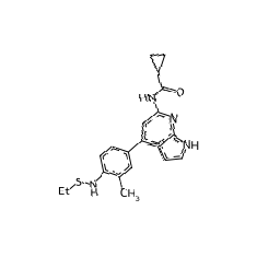 CCSNc1ccc(-c2cc(NC(=O)C3CC3)nc3[nH]ccc23)cc1C